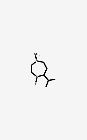 CC(C)C1CCN(N)CCN1I